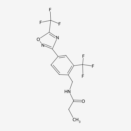 CCC(=O)NCc1ccc(-c2noc(C(F)(F)F)n2)cc1C(F)(F)F